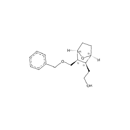 OCC[C@H]1[C@@H](COCc2ccccc2)[C@H]2CC[C@@H]1O2